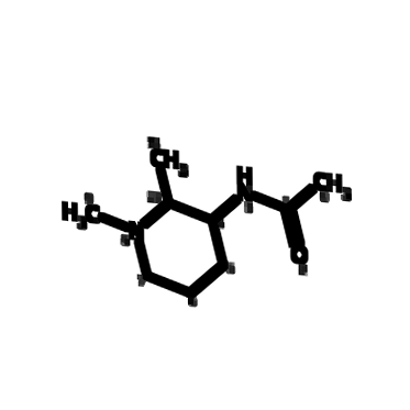 CC(=O)NC1CCCN(C)C1C